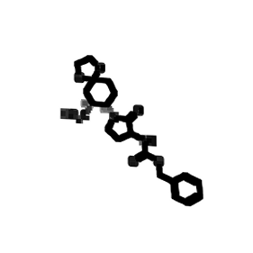 O=C(NC1CCN([C@H]2CCC3(C[C@H]2C(=O)O)OCCO3)C1=O)OCc1ccccc1